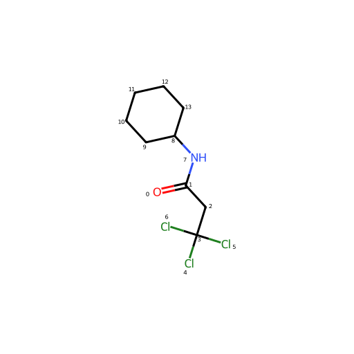 O=C(CC(Cl)(Cl)Cl)NC1CCCCC1